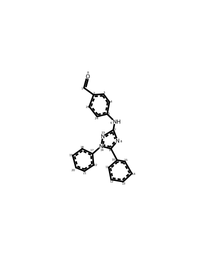 O=Cc1ccc(Nc2nc(-c3ccccc3)n(-c3ccccc3)n2)cc1